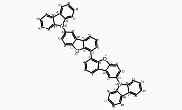 c1cc(-c2cccc3c2oc2ccc(-n4c5ccccc5c5ccccc54)cc23)c2oc3ccc(-n4c5ccccc5c5ccccc54)cc3c2c1